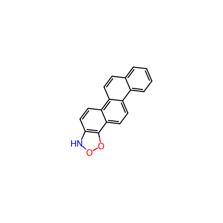 c1ccc2c(c1)ccc1c3ccc4c(c3ccc21)OON4